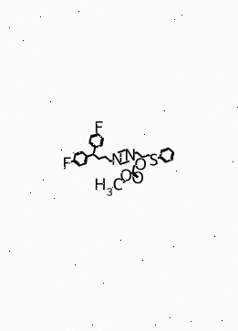 CCOC(=O)COC(CSc1ccccc1)CN1CCN(CCCC(c2ccc(F)cc2)c2ccc(F)cc2)CC1